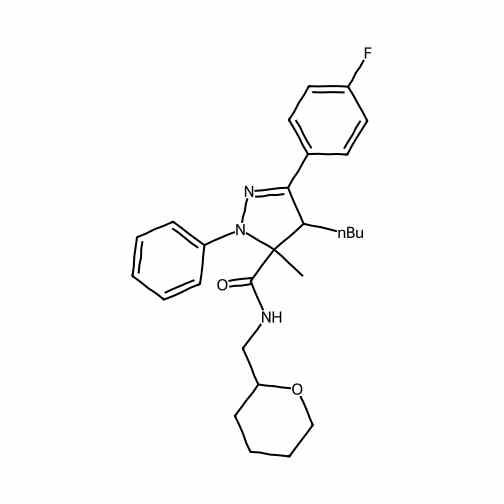 CCCCC1C(c2ccc(F)cc2)=NN(c2ccccc2)C1(C)C(=O)NCC1CCCCO1